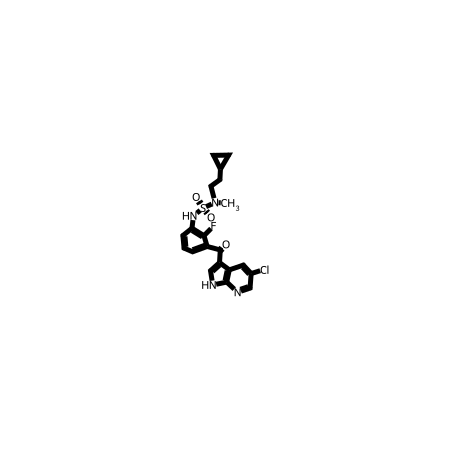 CN(CCC1CC1)S(=O)(=O)Nc1cccc(C(=O)c2c[nH]c3ncc(Cl)cc23)c1F